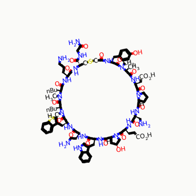 CCCC[C@H]1C(=O)N(C)[C@@H](CCCC)C(=O)N[C@@H](CCCN)C(=O)N[C@H](C(=O)NCC(N)=O)CSCC(=O)N[C@@H](Cc2ccc(O)cc2)C(=O)N(C)[C@@H](C)C(=O)N[C@@H](CC(=O)O)C(=O)N2CCC[C@H]2C(=O)N[C@@H](CN)C(=O)N[C@@H](CCC(=O)O)C(=O)N2C[C@H](O)C[C@H]2C(=O)N[C@@H](Cc2c[nH]c3ccccc23)C(=O)N[C@@H](CCN)C(=O)N[C@@H](Cc2csc3ccccc23)C(=O)N1C